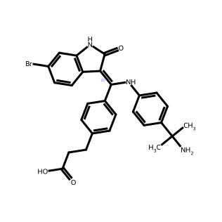 CC(C)(N)c1ccc(N/C(=C2\C(=O)Nc3cc(Br)ccc32)c2ccc(CCC(=O)O)cc2)cc1